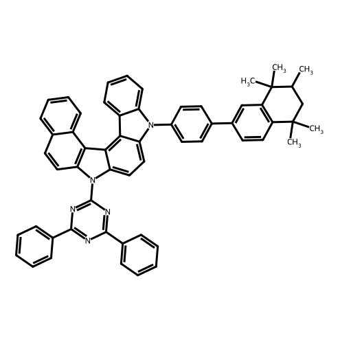 CC1CC(C)(C)c2ccc(-c3ccc(-n4c5ccccc5c5c6c7c8ccccc8ccc7n(-c7nc(-c8ccccc8)nc(-c8ccccc8)n7)c6ccc54)cc3)cc2C1(C)C